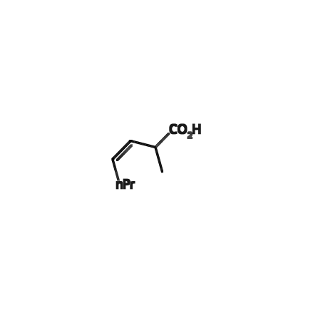 CCC/C=C\C(C)C(=O)O